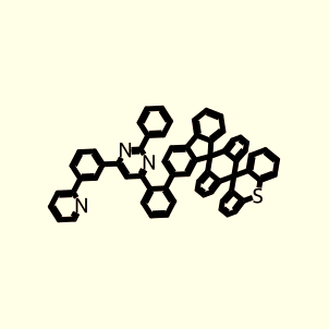 c1ccc(-c2nc(-c3cccc(-c4ccccn4)c3)cc(-c3ccccc3-c3ccc4c(c3)C3(c5ccccc5-4)c4ccccc4C4(c5ccccc5Sc5ccccc54)c4ccccc43)n2)cc1